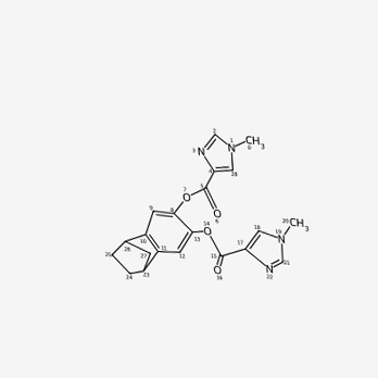 Cn1cnc(C(=O)Oc2cc3c(cc2OC(=O)c2cn(C)cn2)C2CCC3C2)c1